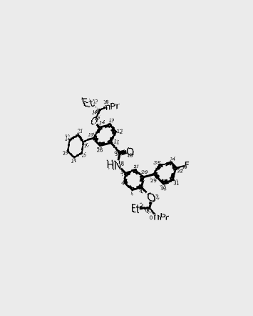 CCC[C@@H](CC)Oc1ccc(NC(=O)c2ccc(O[C@H](CC)CCC)c(C3CCCCC3)c2)cc1-c1ccc(F)cc1